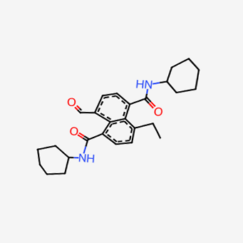 CCc1ccc(C(=O)NC2CCCCC2)c2c(C=O)ccc(C(=O)NC3CCCCC3)c12